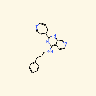 C1=CN=CC=C(c2nc(NCCCc3ccccc3)c3ccncc3n2)C1